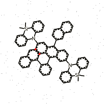 C[Si]1(C)c2ccccc2N(c2ccc3c(-c4ccccc4-c4cccc5ccccc45)c4cc(N5c6ccccc6[Si](C)(C)c6ccccc65)ccc4c(-c4ccc5ccccc5c4)c3c2)c2ccccc21